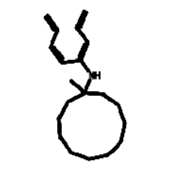 C=C/C=C\C(=C/C=C)NC1(C)CCCCCCCCCC1